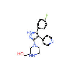 OCC1CN(c2n[nH]c(-c3ccc(F)cc3)c2-c2ccncc2)CCN1